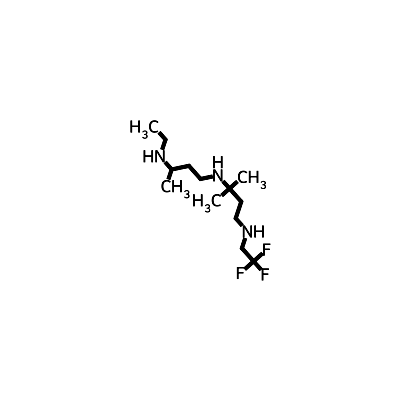 CCNC(C)CCNC(C)(C)CCNCC(F)(F)F